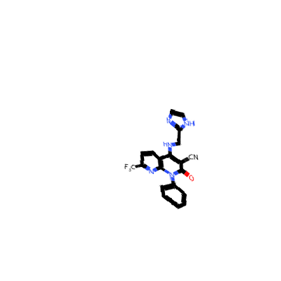 N#Cc1c(NCc2ncc[nH]2)c2ccc(C(F)(F)F)nc2n(-c2ccccc2)c1=O